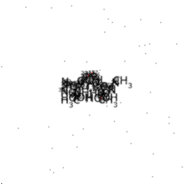 C/N=C/c1cncc(COc2cc(OCc3cccc(-c4cccc(COc5cc(OCc6cncc(C7=NC7)c6)c(CN[C@@H](C(=O)O)[C@H](C)O)cc5Cl)c4C)c3C)c(Cl)cc2CN[C@@H](C(=O)O)[C@@H](C)O)c1